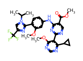 COC(=O)c1cnc(-c2c(OC)ncnc2C2CC2)nc1Nc1ccc(-c2nc(C(F)(F)F)cn2C(C)C)c(OC)c1